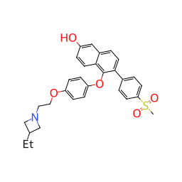 CCC1CN(CCOc2ccc(Oc3c(-c4ccc(S(C)(=O)=O)cc4)ccc4cc(O)ccc34)cc2)C1